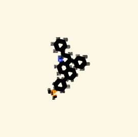 CP(C)c1ccc(-c2cccc3c2ccc2nc(-c4ccccc4)cc(-c4ccccc4)c23)cc1